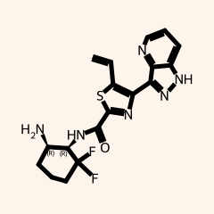 C=Cc1sc(C(=O)N[C@@H]2[C@H](N)CCCC2(F)F)nc1-c1n[nH]c2cccnc12